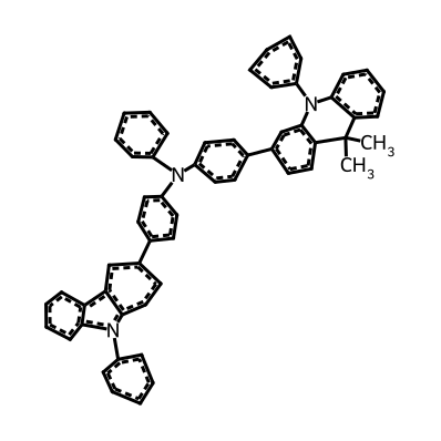 CC1(C)c2ccccc2N(c2ccccc2)c2cc(-c3ccc(N(c4ccccc4)c4ccc(-c5ccc6c(c5)c5ccccc5n6-c5ccccc5)cc4)cc3)ccc21